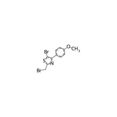 COc1ccc(-c2nc(CBr)sc2Br)cc1